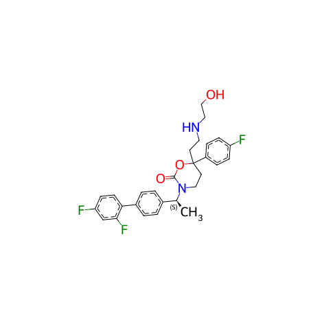 C[C@@H](c1ccc(-c2ccc(F)cc2F)cc1)N1CCC(CCNCCO)(c2ccc(F)cc2)OC1=O